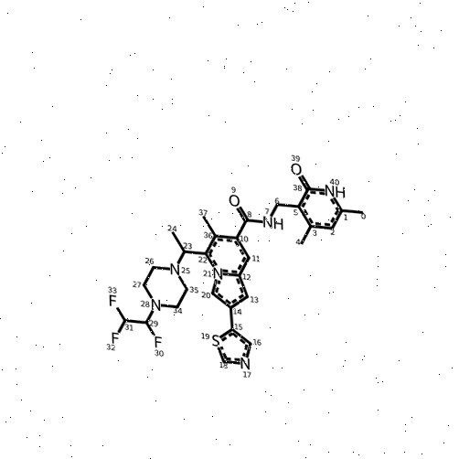 Cc1cc(C)c(CNC(=O)c2cc3cc(-c4cncs4)cn3c(C(C)N3CCN(C(F)C(F)F)CC3)c2C)c(=O)[nH]1